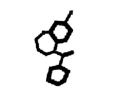 O=C(c1ccccc1)N1CCCOc2cc(Cl)ccc21